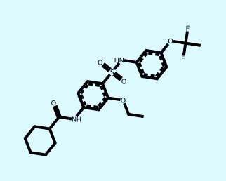 CCOc1cc(NC(=O)C2CCCCC2)ccc1S(=O)(=O)Nc1cccc(OC(C)(F)F)c1